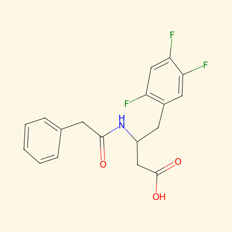 O=C(O)CC(Cc1cc(F)c(F)cc1F)NC(=O)Cc1ccccc1